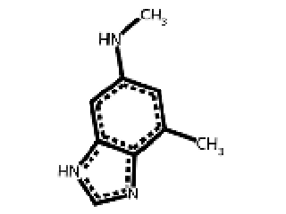 CNc1cc(C)c2nc[nH]c2c1